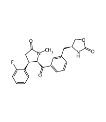 CN1C(=O)C[C@H](c2ccccc2F)[C@@H]1C(=O)c1cccc(C[C@H]2COC(=O)N2)c1